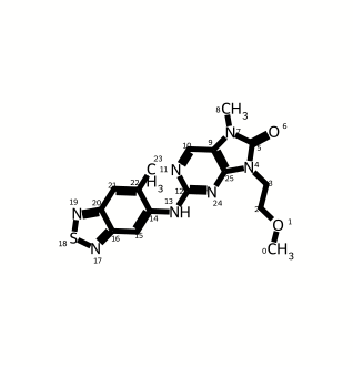 COCCn1c(=O)n(C)c2cnc(Nc3cc4nsnc4cc3C)nc21